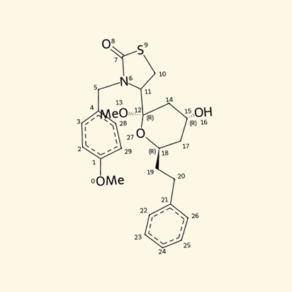 COc1ccc(CN2C(=O)SCC2[C@@]2(OC)C[C@H](O)C[C@@H](CCc3ccccc3)O2)cc1